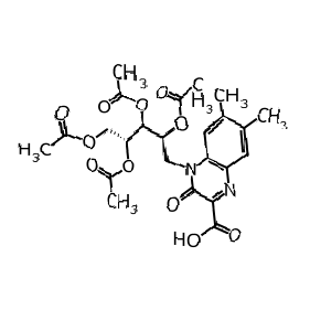 CC(=O)OC[C@@H](OC(C)=O)[C@@H](OC(C)=O)[C@H](Cn1c(=O)c(C(=O)O)nc2cc(C)c(C)cc21)OC(C)=O